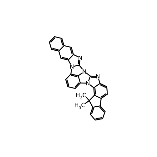 CC1(C)c2ccccc2-c2ccc3nc4n(c5cccc6c5n4c4nc5cc7ccccc7cc5n64)c3c21